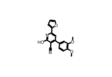 COc1ccc(-c2cc(-c3ccco3)nc(O)c2C#N)cc1OC